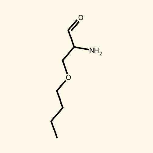 CCCCOCC(N)C=O